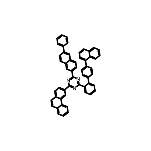 c1ccc(-c2ccc3cc(-c4nc(-c5ccc6ccc7ccccc7c6c5)nc(-c5ccccc5-c5ccc(-c6cccc7ccccc67)cc5)n4)ccc3c2)cc1